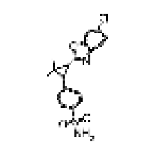 CC1(C)[C@H](c2ccc(S(N)(=O)=O)cc2)[C@H]1c1nc2ccc(Cl)cc2o1